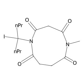 CCCC(I)(CCC)N1C(=O)CCC(=O)N(C)C(=O)CC1=O